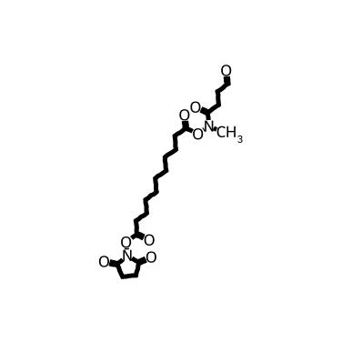 CN(OC(=O)CCCCCCCCCC(=O)ON1C(=O)CCC1=O)C(=O)CCC=O